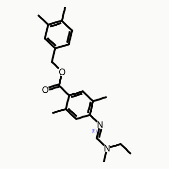 CCN(C)/C=N/c1cc(C)c(C(=O)OCc2ccc(C)c(C)c2)cc1C